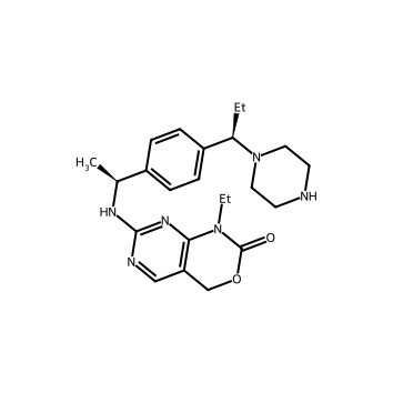 CC[C@H](c1ccc([C@H](C)Nc2ncc3c(n2)N(CC)C(=O)OC3)cc1)N1CCNCC1